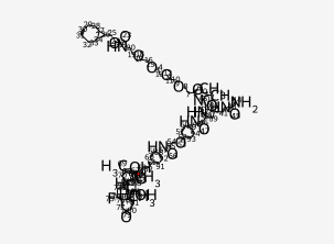 CC(C)[C@H](NC(=O)CCOCCOCCOCCOCCNC(=O)OCC1C2CCC#CCCC21)C(=O)N[C@@H](CCCNC(N)=O)C(=O)Nc1ccc(OCC(=O)Nc2ccc(CCC(=O)[C@@]3(O)[C@H](C)C[C@H]4[C@@H]5C[C@H](F)C6=CC(=O)C=C[C@]6(C)[C@@]5(F)[C@@H](O)C[C@@]43C)cc2)cc1